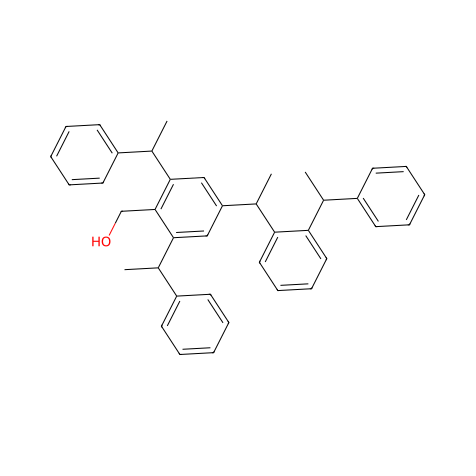 CC(c1ccccc1)c1ccccc1C(C)c1cc(C(C)c2ccccc2)c(CO)c(C(C)c2ccccc2)c1